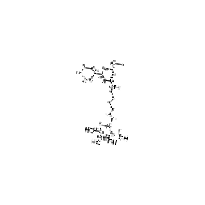 COc1cc(NCCCCCCN2C[C@H](O)[C@@H](O)[C@H](O)[C@H]2CO)cc(C2CCCCC2)c1